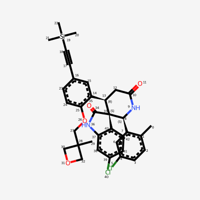 Cc1ccc(Cl)cc1[C@@H]1NC(=O)C[C@H](c2cc(C#C[Si](C)(C)C)ccc2OCC2(C)COC2)[C@@]12C(=O)Nc1cc(Cl)ccc12